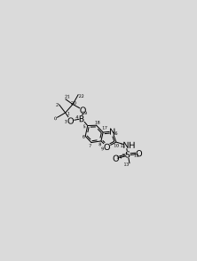 CC1(C)OB(c2ccc3oc(NS(C)(=O)=O)nc3c2)OC1(C)C